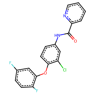 O=C(Nc1ccc(Oc2cc(F)ccc2F)c(Cl)c1)c1ccccn1